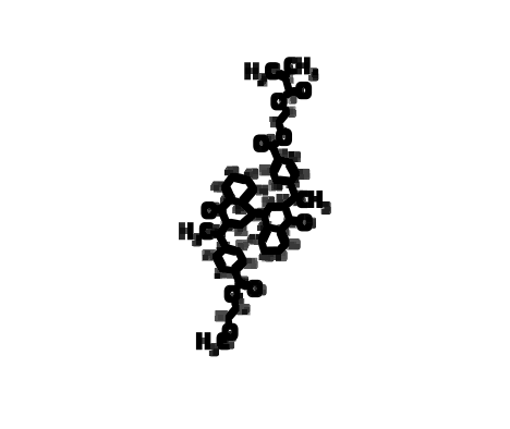 C=C(C)C(=O)OCCOC(=O)c1ccc(C(C)C2=C/C(=C3/C=C(C(C)c4ccc(C(=O)OCCOC)cc4)C(=O)c4ccccc43)c3ccccc3C2=O)cc1